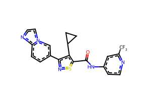 O=C(Nc1ccnc(C(F)(F)F)c1)c1snc(-c2ccc3nccn3c2)c1C1CC1